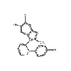 Cc1nc2cc(Cl)c(Cl)cc2n1C1=CN=CCN1c1ccc(C(F)(F)F)cc1